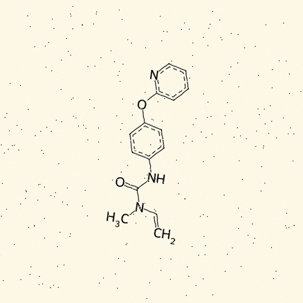 C=CN(C)C(=O)Nc1ccc(Oc2ccccn2)cc1